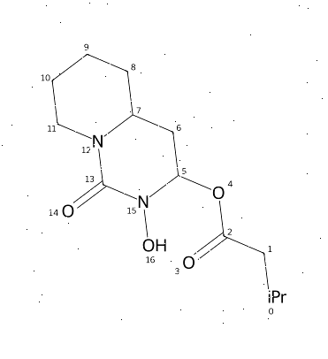 CC(C)CC(=O)OC1CC2CCCCN2C(=O)N1O